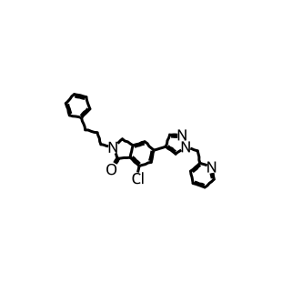 O=C1c2c(Cl)cc(-c3cnn(Cc4ccccn4)c3)cc2CN1CCCc1ccccc1